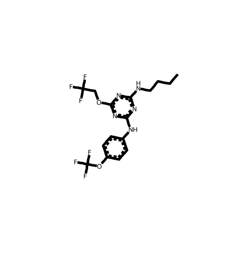 CCCCNc1nc(Nc2ccc(OC(F)(F)F)cc2)nc(OCC(F)(F)F)n1